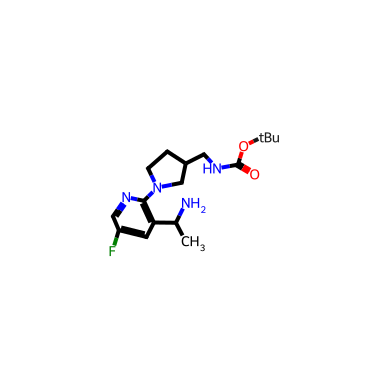 CC(N)c1cc(F)cnc1N1CCC(CNC(=O)OC(C)(C)C)C1